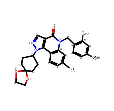 Bc1ccc2c3c(cnn3C3CCC4(CC3)OCCO4)c(=O)n(Cc3ccc(OC)cc3OC)c2c1